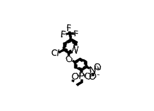 CCP(=O)(OC)c1cc(Oc2ncc(C(F)(F)F)cc2Cl)ccc1[N+](=O)[O-]